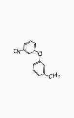 [C-]#[N+]c1cccc(Oc2cccc(C)c2)c1